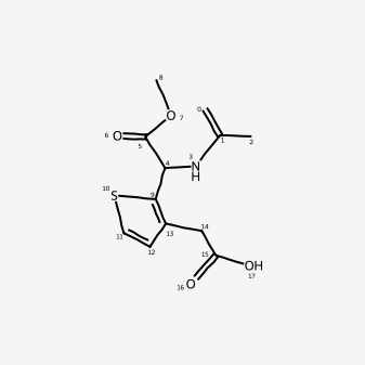 C=C(C)NC(C(=O)OC)c1sccc1CC(=O)O